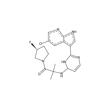 CC(C)(NC1C=CN=C(c2c[nH]c3ncc(Cl)cc23)N1)C(=O)N1CC[C@H](F)C1